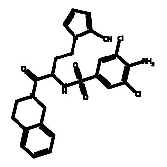 N#Cc1cccn1CCC(NS(=O)(=O)c1cc(Cl)c(N)c(Cl)c1)C(=O)N1CCc2ccccc2C1